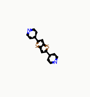 c1cc(-c2cc3sc(-c4ccncc4)cc3s2)ccn1